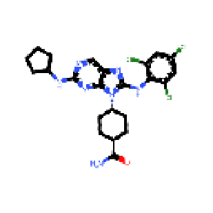 NC(=O)[C@H]1CC[C@H](n2c(Nc3c(Cl)cc(Cl)cc3Cl)nc3cnc(NC4CCCC4)nc32)CC1